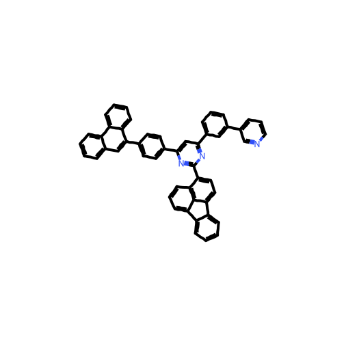 c1cncc(-c2cccc(-c3cc(-c4ccc(-c5cc6ccccc6c6ccccc56)cc4)nc(-c4ccc5c6c(cccc46)-c4ccccc4-5)n3)c2)c1